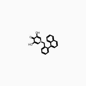 O=c1c(O)cn(Cc2ccccc2-c2cccc3ccccc23)cc1O